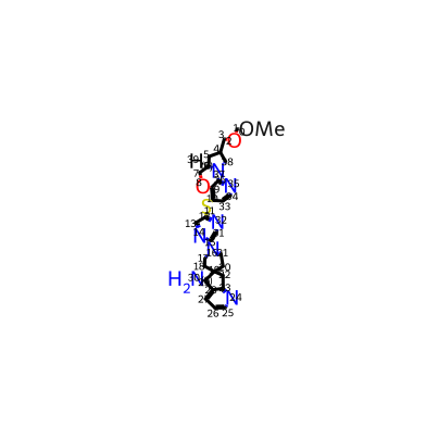 COCOCC1C[C@@H]2COc3c(Sc4cnc(N5CCC6(CC5)Cc5ncccc5[C@H]6N)cn4)ccnc3N2C1